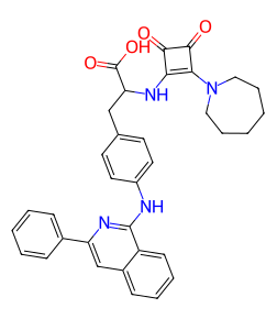 O=C(O)C(Cc1ccc(Nc2nc(-c3ccccc3)cc3ccccc23)cc1)Nc1c(N2CCCCCC2)c(=O)c1=O